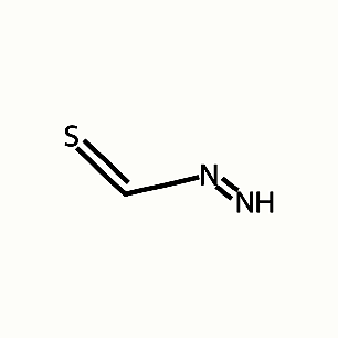 N=NC=S